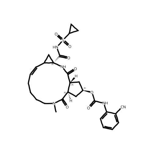 CN1CCCC/C=C\C2C[C@@]2(C(=O)NS(=O)(=O)C2CC2)NC(=O)[C@@H]2C[C@@H](OC(=O)Nc3ccccc3C#N)C[C@H]2C1=O